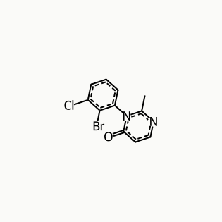 Cc1nccc(=O)n1-c1cccc(Cl)c1Br